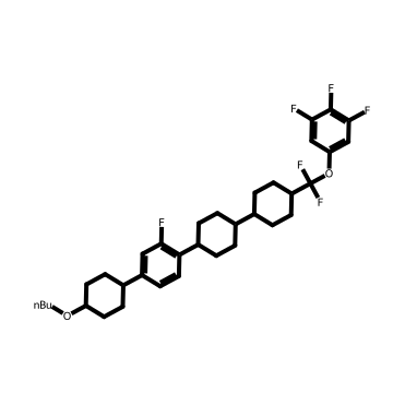 CCCCOC1CCC(c2ccc(C3CCC(C4CCC(C(F)(F)Oc5cc(F)c(F)c(F)c5)CC4)CC3)c(F)c2)CC1